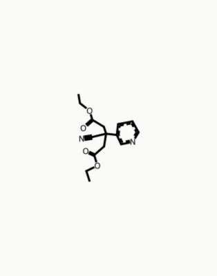 CCOC(=O)CC(C#N)(CC(=O)OCC)c1cccnc1